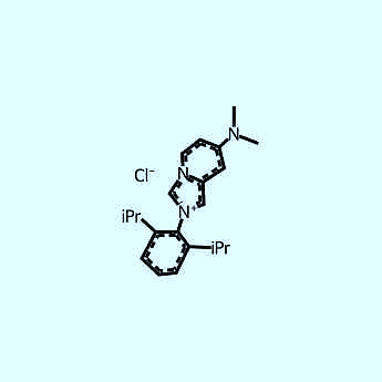 CC(C)c1cccc(C(C)C)c1-[n+]1cc2cc(N(C)C)ccn2c1.[Cl-]